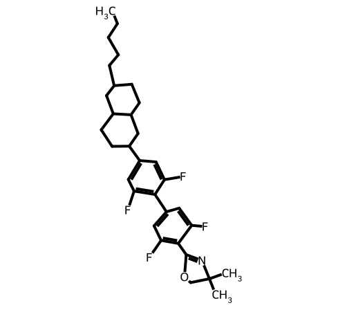 CCCCCC1CCC2CC(c3cc(F)c(-c4cc(F)c(C5=NC(C)(C)CO5)c(F)c4)c(F)c3)CCC2C1